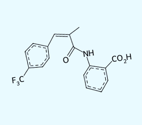 CC(=Cc1ccc(C(F)(F)F)cc1)C(=O)Nc1ccccc1C(=O)O